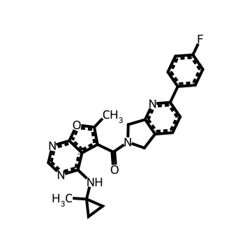 Cc1oc2ncnc(NC3(C)CC3)c2c1C(=O)N1Cc2ccc(-c3ccc(F)cc3)nc2C1